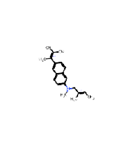 [C-]#[N+]/C(C#N)=C(\C)c1ccc2cc(N(C)C/C(C)=C/C)ccc2c1